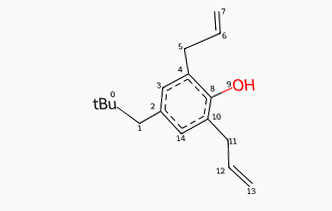 [CH2]C(C)(C)Cc1cc(CC=C)c(O)c(CC=C)c1